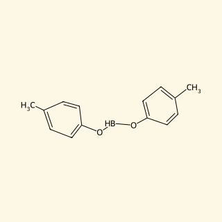 Cc1ccc(OBOc2ccc(C)cc2)cc1